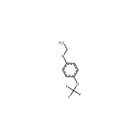 CC[N]c1ccc(OC(F)(F)F)cc1